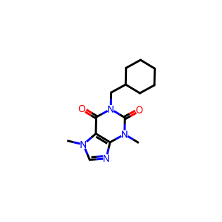 Cn1cnc2c1c(=O)n(CC1CCCCC1)c(=O)n2C